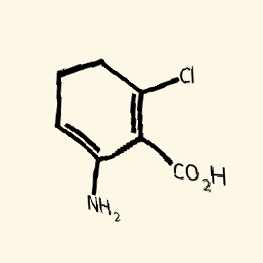 NC1=CCCC(Cl)=C1C(=O)O